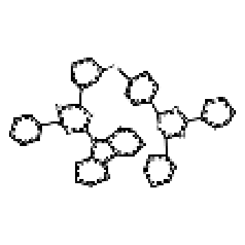 c1ccc(-c2nc(-c3ccccc3)nc(-c3ccc(Oc4cccc(-c5nc(-c6ccccc6)nc(-n6c7ccccc7c7ccccc76)n5)c4)cc3)n2)cc1